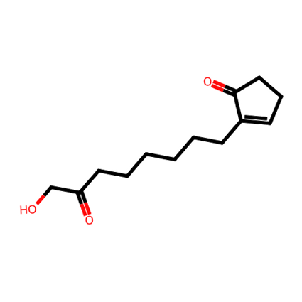 O=C(CO)CCCCCCC1=CCCC1=O